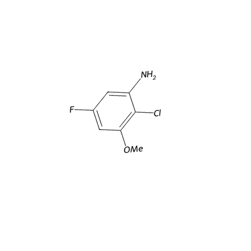 COc1cc(F)cc(N)c1Cl